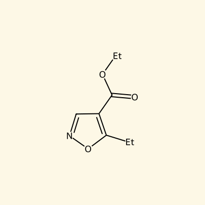 CCOC(=O)c1cnoc1CC